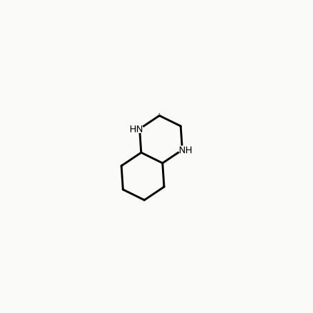 [CH]1CNC2CCCCC2N1